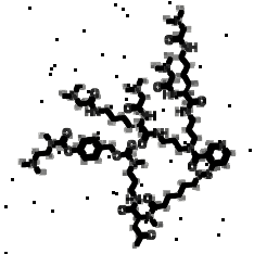 CC(=O)C[C@@H](C(=O)NCCCN(C)C(=O)OCc1ccc(OC(=O)N(C)CCN(C)C)cc1)N(C)C(=O)CCCCCSSc1ccncc1C(=O)N(CCCNC(=O)[C@H](CCCCNC(=O)CN(C)C)NC(=O)CN(C)C)CCCNC(=O)[C@H](CCCCNC(=O)CN(C)C)NC(=O)CN(C)C